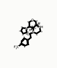 O=C(Cc1ccc(C(F)(F)F)cc1)N1CCN[C@@H]2COCC(N3CCCC3)[C@H]21